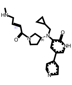 CNC/C=C/C(=O)N1CC[C@@H](N(CC2CC2)c2cc(-c3ccncc3)c[nH]c2=O)C1